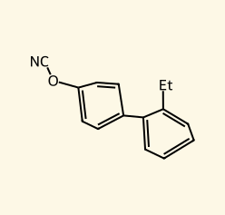 CCc1ccccc1-c1ccc(OC#N)cc1